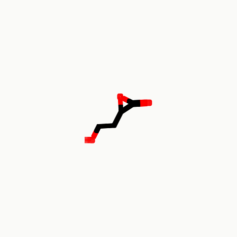 O=C1OC1CCO